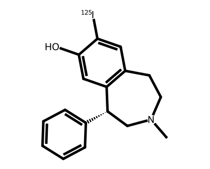 CN1CCc2cc([125I])c(O)cc2[C@@H](c2ccccc2)C1